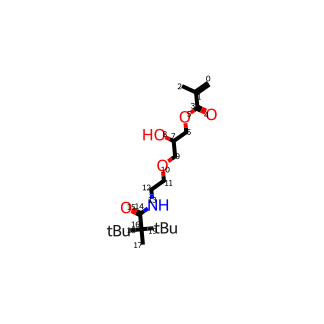 C=C(C)C(=O)OCC(O)COCCNC(=O)C(C)(C(C)(C)C)C(C)(C)C